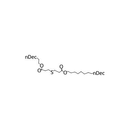 CCCCCCCCCCCCCCCCCCOC(=O)CCSCCC(=O)OCCCCCCCCCCCC